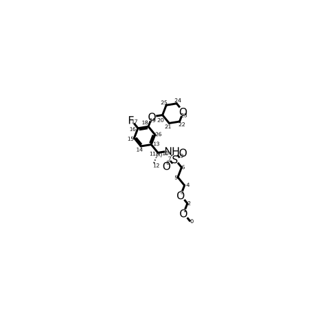 COCOCCCS(=O)(=O)N[C@H](C)c1ccc(F)c(OC2CCOCC2)c1